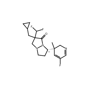 CC1([C@@H]2CCN3CC(CC4CC4)(C(F)F)C(=O)N23)C=C(F)C=NC1